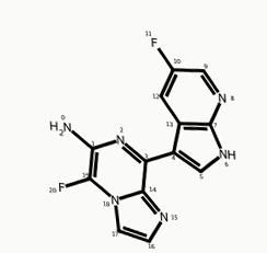 Nc1nc(-c2c[nH]c3ncc(F)cc23)c2nccn2c1F